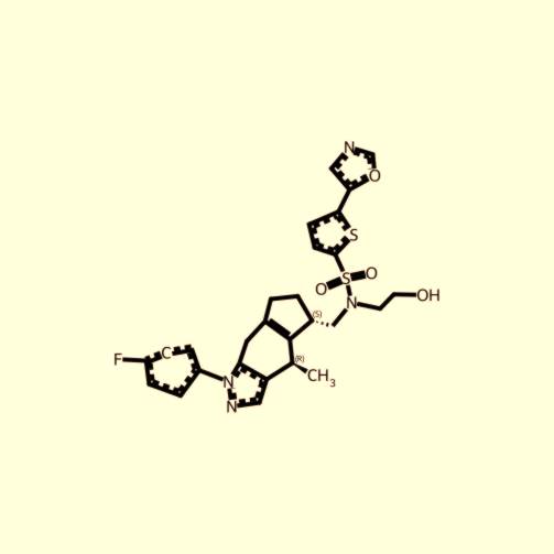 C[C@@H]1C2=C(CC[C@@H]2CN(CCO)S(=O)(=O)c2ccc(-c3cnco3)s2)Cc2c1cnn2-c1ccc(F)cc1